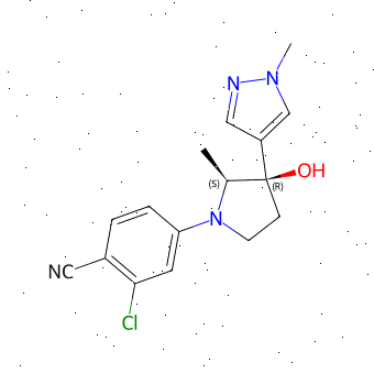 C[C@@H]1N(c2ccc(C#N)c(Cl)c2)CC[C@@]1(O)c1cnn(C)c1